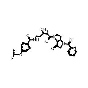 CC(CCNC(=O)c1ccc(OC(F)F)cc1)CC(=O)N1CCC2C1C(=O)CN2C(=O)c1ccccn1